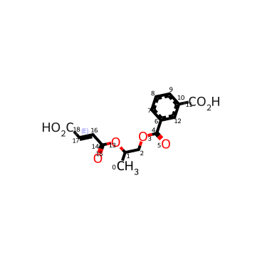 CC(COC(=O)c1cccc(C(=O)O)c1)OC(=O)/C=C/C(=O)O